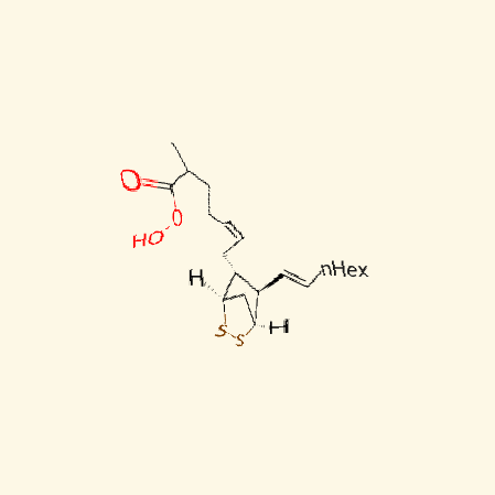 CCCCCC/C=C/[C@@H]1[C@@H](C/C=C\CCC(C)C(=O)OO)[C@H]2C[C@@H]1SS2